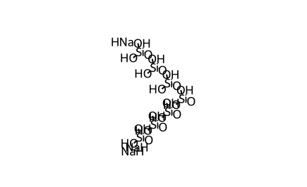 O=[Si](O)O.O=[Si](O)O.O=[Si](O)O.O=[Si](O)O.O=[Si](O)O.O=[Si](O)O.O=[Si](O)O.[NaH].[NaH].[NaH]